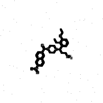 CCOc1cccc(C(CCN)N2CCN(C(=O)c3ccc4cc([N+](=O)[O-])ccc4c3)CC2)c1CC